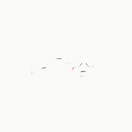 CC(C)=CCCC(C)=CCNC(=O)c1c(C)cc(C)cc1C